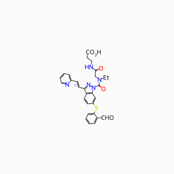 CCN(CC(=O)NCCC(=O)O)C(=O)n1nc(/C=C/c2ccccn2)c2ccc(Sc3ccccc3C=O)cc21